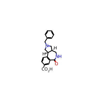 O=C(O)c1ccc2c(c1)C(=O)NC[C@@H]1CN(Cc3ccccc3)C[C@@H]21